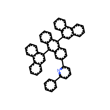 c1ccc(-c2cccc(-c3ccc4c(-c5cc6ccccc6c6ccccc56)c5ccccc5c(-c5cc6ccccc6c6ccccc56)c4c3)n2)cc1